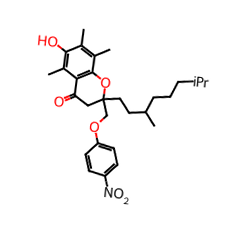 Cc1c(C)c2c(c(C)c1O)C(=O)CC(CCC(C)CCCC(C)C)(COc1ccc([N+](=O)[O-])cc1)O2